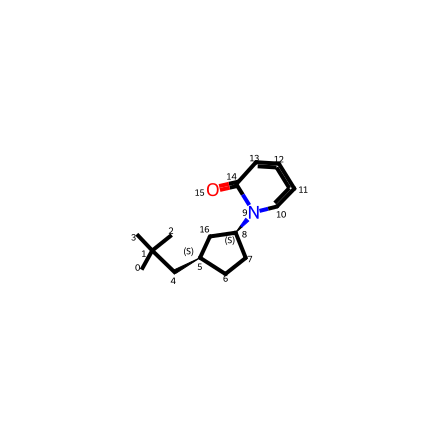 CC(C)(C)C[C@@H]1CC[C@H](N2C=C=C=CC2=O)C1